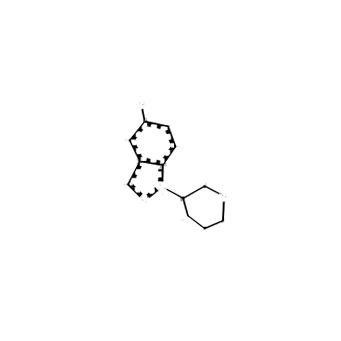 Nc1ccc2c(cnn2C2CCCNC2)c1